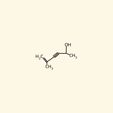 C=C(C)C#CC(C)O